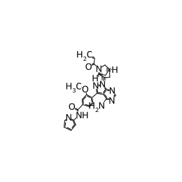 C=CC(=O)N1C[C@@H]2C[C@@H]1[C@H](n1nc(-c3ccc(C(=O)Nc4ccccn4)cc3OC)c3c(N)ncnc31)C2